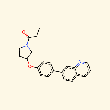 CCC(=O)N1CCC(Oc2ccc(-c3ccc4cccnc4c3)cc2)C1